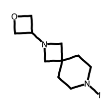 IN1CCC2(CC1)CN(C1COC1)C2